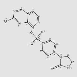 Cc1ccc2cccc(OS(=O)(=O)c3ccc(N4CCNC4=O)cc3)c2n1